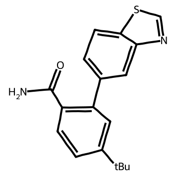 CC(C)(C)c1ccc(C(N)=O)c(-c2ccc3scnc3c2)c1